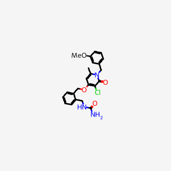 COc1cccc(Cn2c(C)cc(OCc3ccccc3CNC(N)=O)c(Cl)c2=O)c1